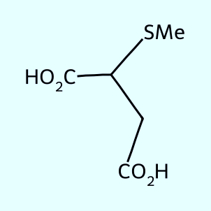 CSC(CC(=O)O)C(=O)O